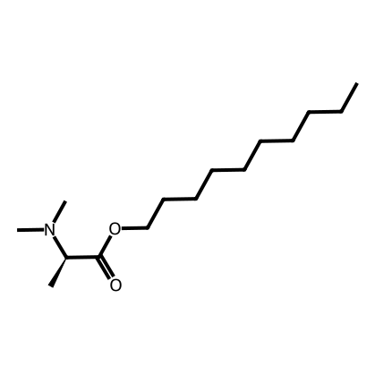 CCCCCCCCCCOC(=O)[C@@H](C)N(C)C